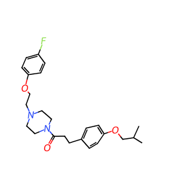 CC(C)COc1ccc(CCC(=O)N2CCN(CCOc3ccc(F)cc3)CC2)cc1